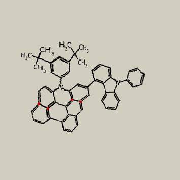 CC(C)(C)c1cc(N(c2cccc(-c3cccc4c3c3ccccc3n4-c3ccccc3)c2)c2ccccc2-c2cccc3cccc(-c4ccccc4)c23)cc(C(C)(C)C)c1